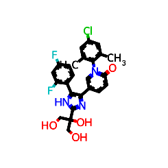 Cc1cc(Cl)cc(C)c1-n1cc(-c2nc(C(O)(CO)CO)[nH]c2-c2ccc(F)cc2F)ccc1=O